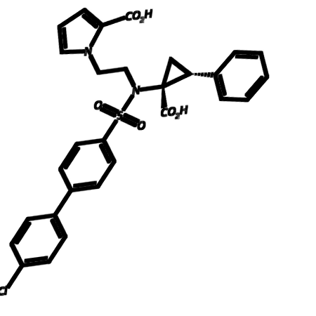 O=C(O)c1cccn1CCN([C@]1(C(=O)O)C[C@@H]1c1ccccc1)S(=O)(=O)c1ccc(-c2ccc(Cl)cc2)cc1